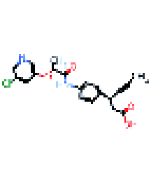 CC#CC(CC(=O)O)c1ccc(NC(=O)C(C)Oc2cncc(Cl)c2)cc1